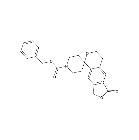 O=C1OCc2cc3c(cc21)CCOC31CCN(C(=O)OCc2ccccc2)CC1